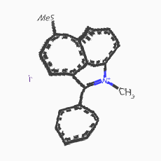 CSc1ccc2c3c(cccc13)[N+](C)=C2c1ccccc1.[I-]